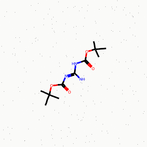 CC(C)(C)OC(=O)/N=C(\[NH])NC(=O)OC(C)(C)C